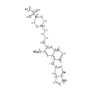 COc1cc2c(Oc3cnc4[nH]ccc4c3)ncnc2cc1OCCCN1CCN(S(C)(=O)=O)CC1